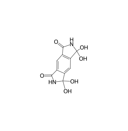 O=C1NC(O)(O)c2cc3c(cc21)C(=O)NC3(O)O